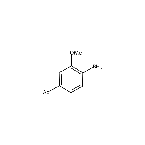 Bc1ccc(C(C)=O)cc1OC